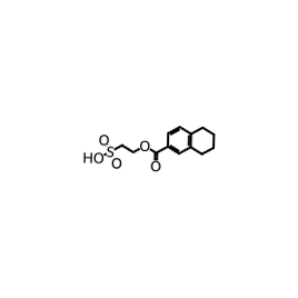 O=C(OCCS(=O)(=O)O)c1ccc2c(c1)CCCC2